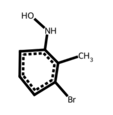 Cc1c(Br)cccc1NO